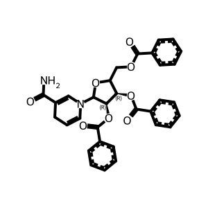 NC(=O)C1=CN(C2OC(COC(=O)c3ccccc3)[C@@H](OC(=O)c3ccccc3)[C@H]2OC(=O)c2ccccc2)C=CC1